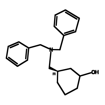 OC1CCC[C@@H](CN(Cc2ccccc2)Cc2ccccc2)C1